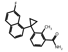 Cc1c(C(N)=O)cccc1C1(c2cccc3ccc(F)cc23)CC1